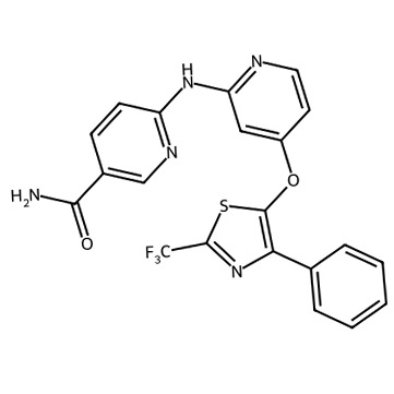 NC(=O)c1ccc(Nc2cc(Oc3sc(C(F)(F)F)nc3-c3ccccc3)ccn2)nc1